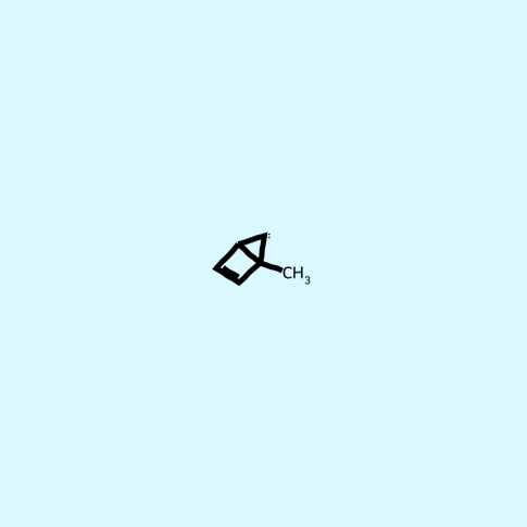 CC12[C]C1C=C2